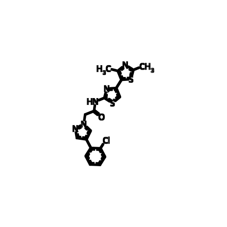 Cc1nc(C)c(-c2csc(NC(=O)Cn3cc(-c4ccccc4Cl)cn3)n2)s1